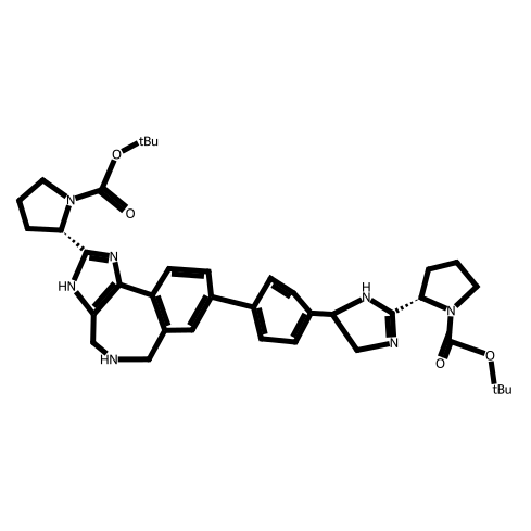 CC(C)(C)OC(=O)N1CCC[C@H]1C1=NCC(c2ccc(-c3ccc4c(c3)CNCc3[nH]c([C@@H]5CCCN5C(=O)OC(C)(C)C)nc3-4)cc2)N1